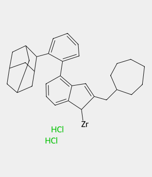 Cl.Cl.[Zr][CH]1C(CC2CCCCCC2)=Cc2c(-c3ccccc3C3C4CC5CC(C4)CC3C5)cccc21